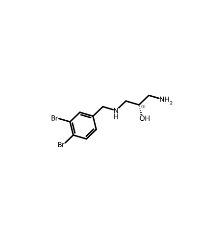 NC[C@H](O)CNCc1ccc(Br)c(Br)c1